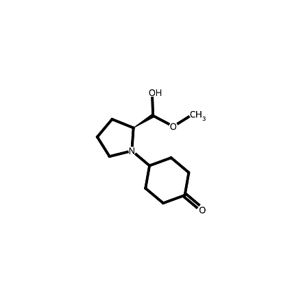 COC(O)[C@@H]1CCCN1C1CCC(=O)CC1